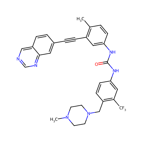 Cc1ccc(NC(=O)Nc2ccc(CN3CCN(C)CC3)c(C(F)(F)F)c2)cc1C#Cc1ccc2cncnc2c1